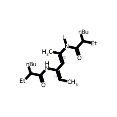 C/C=C(\C=C(/C)N(I)C(=O)C(CC)CCCC)NC(=O)C(CC)CCCC